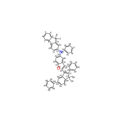 CC1(C)c2ccccc2-c2ccc(N(c3ccccc3)c3ccc4oc5c6c(c7ccccc7c5c4c3)C(C)(C)c3ccc(-c4ccccc4)cc3-6)cc21